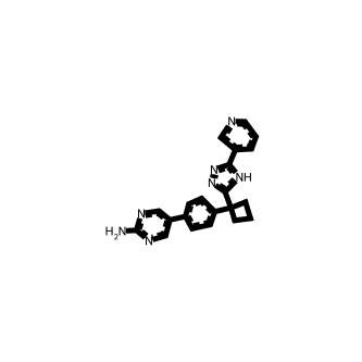 Nc1ncc(-c2ccc(C3(c4nnc(-c5cccnc5)[nH]4)CCC3)cc2)cn1